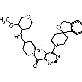 COC1COCCC1NC1CCN(C(=O)c2ncnc(N3CCC4(CC3)OCc3ccccc34)c2C)CC1